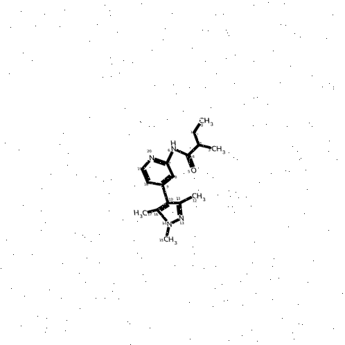 CCC(C)C(=O)Nc1cc(-c2c(C)nn(C)c2C)ccn1